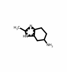 Cc1nc2c([nH]1)CC(N)CC2